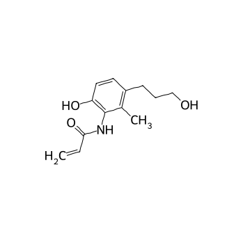 C=CC(=O)Nc1c(O)ccc(CCCO)c1C